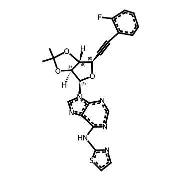 CC1(C)O[C@H]2[C@H](O1)[C@@H](C#Cc1ccccc1F)O[C@H]2n1cnc2c(Nc3nccs3)ncnc21